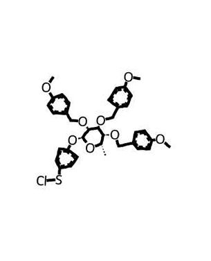 COc1ccc(CO[C@H]2[C@H](OCc3ccc(OC)cc3)[C@@H](Oc3ccc(SCl)cc3)O[C@@H](C)[C@H]2OCc2ccc(OC)cc2)cc1